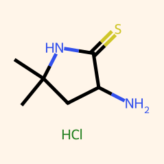 CC1(C)CC(N)C(=S)N1.Cl